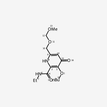 CCCCOc1c(C(=O)NCC)[nH]c(COCOC)cc1=O